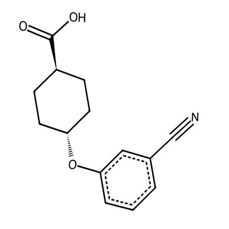 N#Cc1cccc(O[C@H]2CC[C@H](C(=O)O)CC2)c1